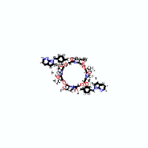 CC(C)C[C@H]1C(=O)O[C@H](Cc2ccc(Cn3ccc4cccnc43)cc2)C(=O)N(C)[C@@H](CC(C)C)C(=O)O[C@H](C)C(=O)N(C)[C@@H](CC(C)C)C(=O)O[C@H](Cc2ccc(Cn3ccc4cccnc43)cc2)C(=O)N(C)[C@@H](CC(C)C)C(=O)O[C@H](C)C(=O)N1C